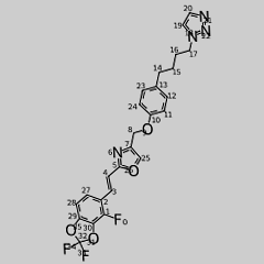 Fc1c(/C=C/c2nc(COc3ccc(CCCCn4ccnn4)cc3)co2)ccc2c1OC(F)(F)O2